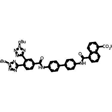 CCCCn1nnc(-c2ccc(C(=O)Nc3ccc(-c4ccc(NC(=O)c5cccc6c(C(=O)O)cccc56)cc4)cc3)cc2-c2nnn(CCCC)n2)n1